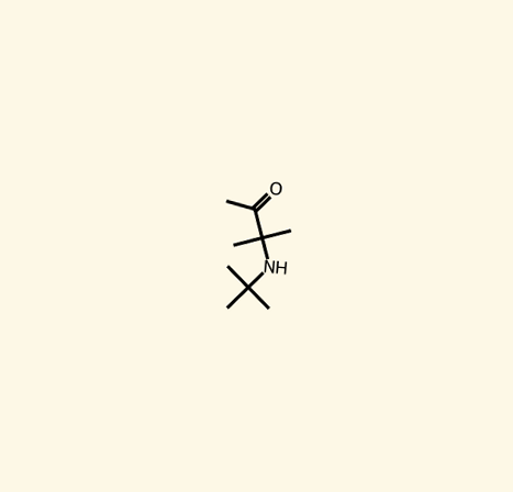 CC(=O)C(C)(C)NC(C)(C)C